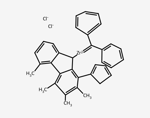 Cc1cccc2c1-c1c(C)c(C)c(C)c(C3=CC=CC3)c1[CH]2[Zr+2]=[C](c1ccccc1)c1ccccc1.[Cl-].[Cl-]